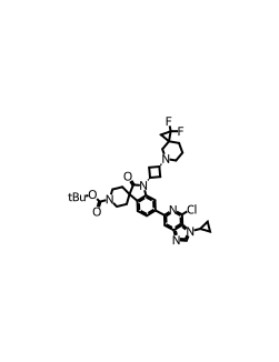 CC(C)(C)OC(=O)N1CCC2(CC1)C(=O)N([C@H]1C[C@@H](N3CCCC4(C3)CC4(F)F)C1)c1cc(-c3cc4ncn(C5CC5)c4c(Cl)n3)ccc12